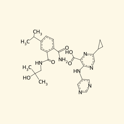 CC(C)c1ccc(C(N)=O)c(C(=O)NCC(C)(C)O)c1.O=C(O)c1nc(C2CC2)cnc1Nc1cncnc1